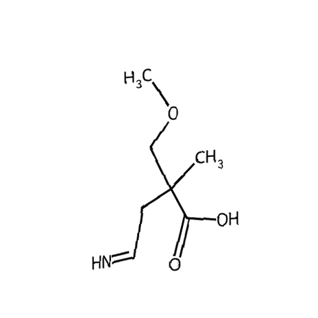 COCC(C)(CC=N)C(=O)O